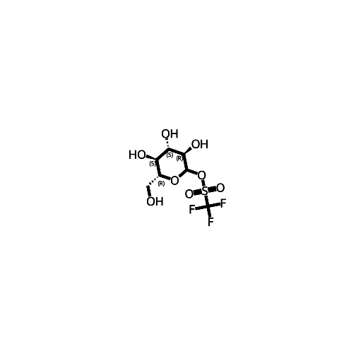 O=S(=O)(OC1O[C@H](CO)[C@@H](O)[C@H](O)[C@H]1O)C(F)(F)F